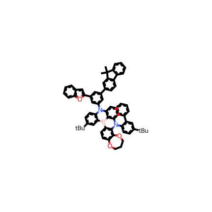 Cc1cc2c3c(c1)N(c1ccc(C(C)(C)C)cc1-c1ccccc1)c1c(ccc4c1OCCCO4)B3c1cc(C(C)(C)C)ccc1N2c1cc(-c2ccc3c(c2)C(C)(C)c2ccccc2-3)cc(-c2cc3ccccc3o2)c1